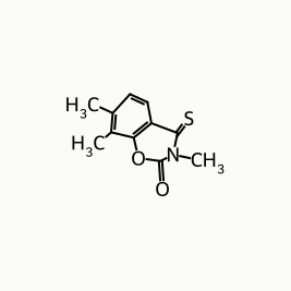 Cc1ccc2c(=S)n(C)c(=O)oc2c1C